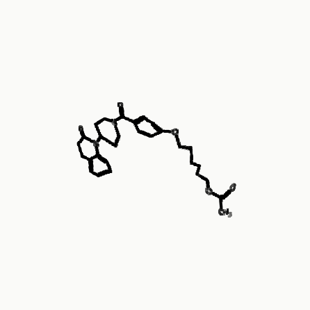 CC(=O)OCCCCCCOc1ccc(C(=O)N2CCC(N3C(=O)CCc4ccccc43)CC2)cc1